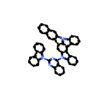 c1ccc2cc3c(cc2c1)c1cc2c(c4ccccc4n2-c2nc(-n4c5ccccc5c5ccccc54)nc4ccccc24)c2c4ccccc4n3c12